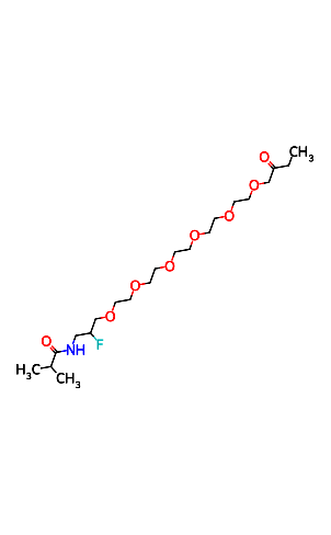 CCC(=O)COCCOCCOCCOCCOCCOCC(F)CNC(=O)C(C)C